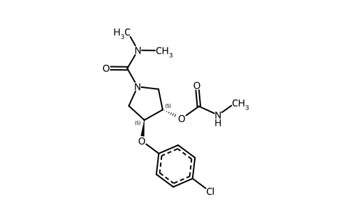 CNC(=O)O[C@H]1CN(C(=O)N(C)C)C[C@@H]1Oc1ccc(Cl)cc1